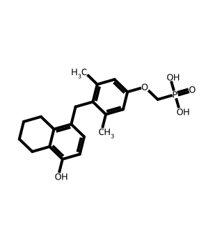 Cc1cc(OCP(=O)(O)O)cc(C)c1Cc1ccc(O)c2c1CCCC2